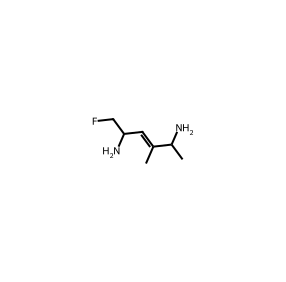 C/C(=C\C(N)CF)C(C)N